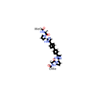 COC(=O)N[C@@H](C)C(=O)N1CCC[C@H]1C1=NCC(C23CCC(c4ccc(-c5cnc([C@@H]6CCCN6C(=O)[C@H](C)NC(=O)OC)[nH]5)cc4)(CC2)CC3)N1